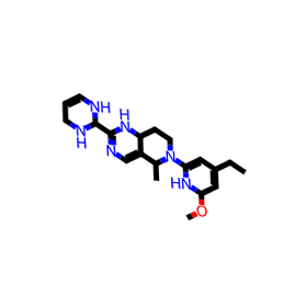 CCC1=CC(OC)NC(N2CCC3NC(C4NC=CCN4)=NC=C3C2C)=C1